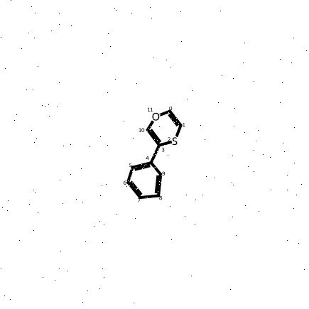 C1=CSC(c2ccccc2)=CO1